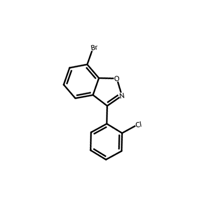 Clc1ccccc1-c1noc2c(Br)cccc12